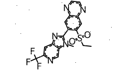 CCS(=O)(=O)c1cc2nccnc2cc1-c1nc2cc(C(F)(F)F)ncc2n1C